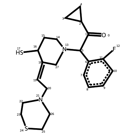 O=C(C1CC1)C(c1ccccc1F)N1CCC(S)/C(=C/CN2CCSCC2)C1